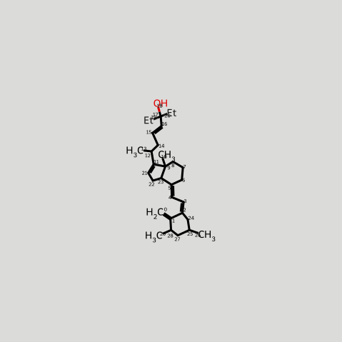 C=C1/C(=C\C=C2/CCCC3(C)C(C(C)C/C=C/C(O)(CC)CC)=CCC23)CC(C)CC1C